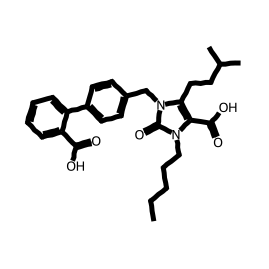 CCCCCn1c(C(=O)O)c(CCC(C)C)n(Cc2ccc(-c3ccccc3C(=O)O)cc2)c1=O